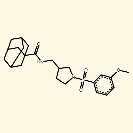 COc1cccc(S(=O)(=O)N2CCC(CNC(=O)C34CC5CC(CC(C5)C3)C4)C2)c1